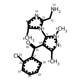 Cc1nn(C)c(-n2c(C)cnc2CN)c1C(=O)c1ccccc1Cl